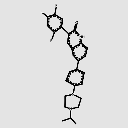 CC(C)N1CCN(c2ccc(-c3ccc4[nH]c(=O)c(-c5cc(F)c(F)cc5F)cc4c3)cc2)CC1